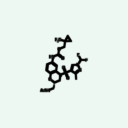 CC(=O)NC[C@H]1CN(S(=O)(=O)c2cn(C(F)F)nc2C)c2cc(NC(=O)OCC3(C(F)(F)F)CC3)ccc2O1